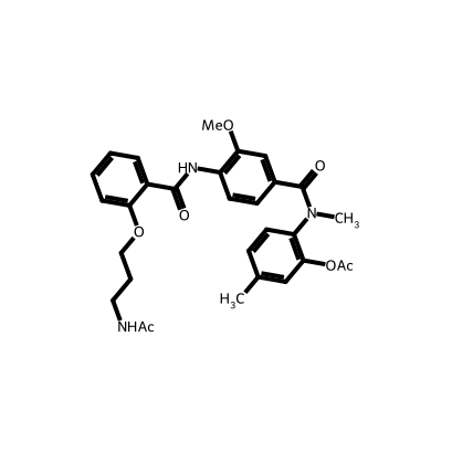 COc1cc(C(=O)N(C)c2ccc(C)cc2OC(C)=O)ccc1NC(=O)c1ccccc1OCCCNC(C)=O